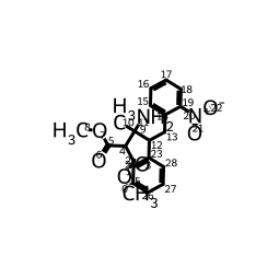 COC(=O)C(C(=O)OC)C(C)(N)C(Cc1ccccc1[N+](=O)[O-])c1ccccc1